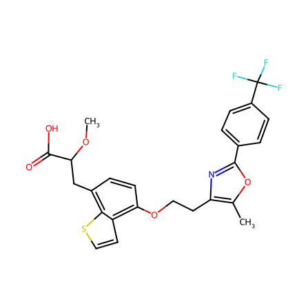 COC(Cc1ccc(OCCc2nc(-c3ccc(C(F)(F)F)cc3)oc2C)c2ccsc12)C(=O)O